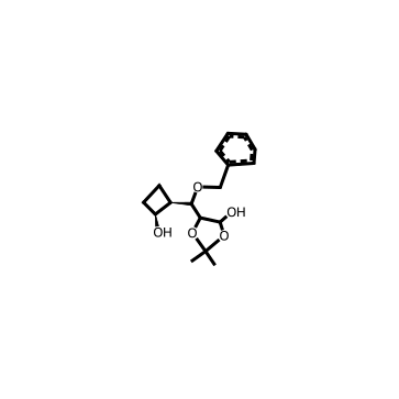 CC1(C)OC(O)C(C(OCc2ccccc2)[C@@H]2CC[C@@H]2O)O1